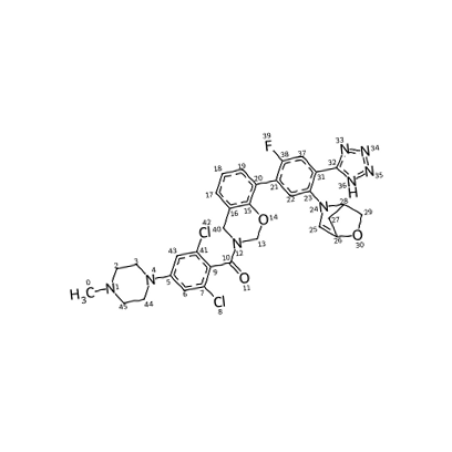 CN1CCN(c2cc(Cl)c(C(=O)N3COc4c(cccc4-c4cc(N5C=C6CC5CO6)c(-c5nnn[nH]5)cc4F)C3)c(Cl)c2)CC1